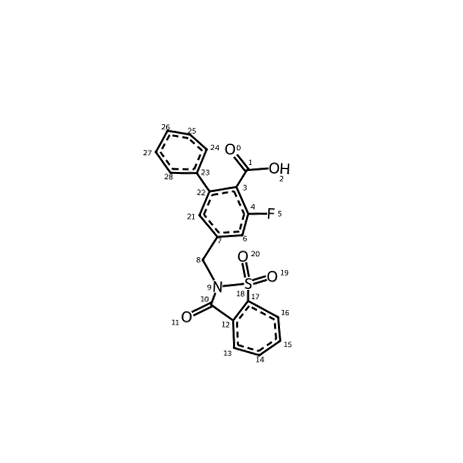 O=C(O)c1c(F)cc(CN2C(=O)c3ccccc3S2(=O)=O)cc1-c1ccccc1